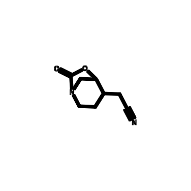 N#CCC1CCN2CC1OC2=O